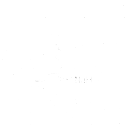 C=CCc1ccccc1CC=C.[NaH]